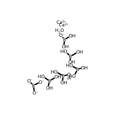 O.OB(O)O.OB(O)O.OB(O)O.OB(O)O.[Ca+2].[Ca+2].[O-]B(O)O.[O-]B([O-])[O-]